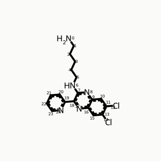 NCCCCCNc1nc2cc(Cl)c(Cl)cc2nc1-c1ccccn1